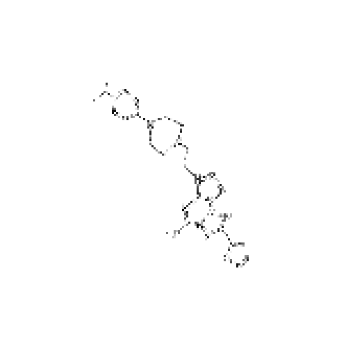 CC(C)c1ccc(N2CCN(CCn3ccc4c3nc(N)n3nc(-c5ccco5)nc43)CC2)cc1